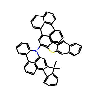 CC1(C)c2ccccc2-c2ccc(N(c3ccccc3-c3ccccc3)c3cc(-c4cccc5cccc(-c6ccccc6)c45)cc4c3sc3cc5ccccc5cc34)cc21